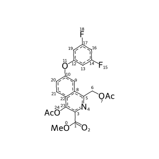 COC(=O)c1nc(COC(C)=O)c2cc(Oc3cc(F)cc(F)c3)ccc2c1OC(C)=O